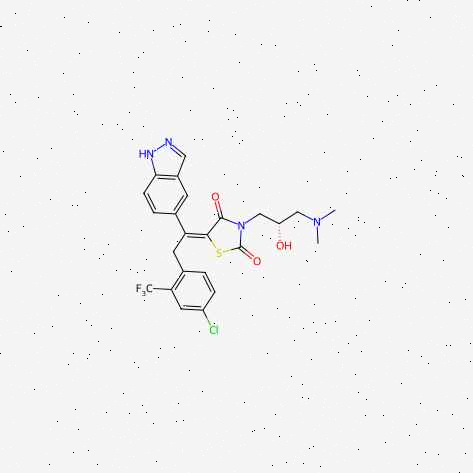 CN(C)C[C@H](O)CN1C(=O)SC(=C(Cc2ccc(Cl)cc2C(F)(F)F)c2ccc3[nH]ncc3c2)C1=O